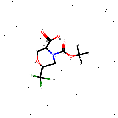 CC(C)(C)OC(=O)N1CC(C(F)(F)F)OCC1C(=O)O